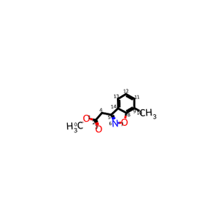 COC(=O)Cc1noc2c(C)cccc12